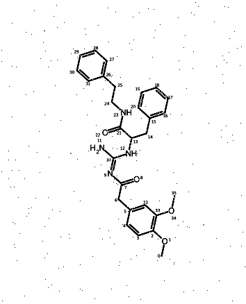 COc1ccc(CC(=O)N=C(N)NC(Cc2ccccc2)C(=O)NCCc2ccccc2)cc1OC